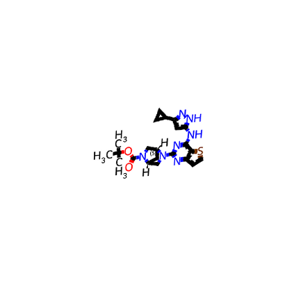 CC(C)(C)OC(=O)N1C[C@@H]2C[C@H]1CN2c1nc(Nc2cc(C3CC3)n[nH]2)c2sccc2n1